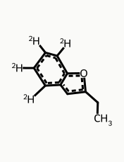 [2H]c1c([2H])c([2H])c2oc(CC)cc2c1[2H]